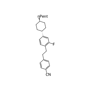 CCCCC[C@H]1CC[C@H](c2ccc(CCc3ccc(C#N)cc3)c(F)c2)CC1